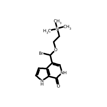 C[Si](C)(C)CCOC(Br)c1c[nH]c(=O)c2[nH]ccc12